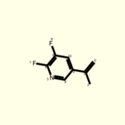 C=C(C)c1cnc(F)c(F)c1